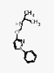 CC(C)NCOc1ccn(-c2ccccc2)n1